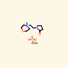 COS(=O)(=O)[O-].C[N+]1(CCN2CCCC2=O)CCOCC1